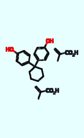 C=C(C)C(=O)O.C=C(C)C(=O)O.Oc1ccc(C2(c3ccc(O)cc3)CCCCC2)cc1